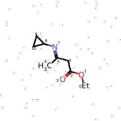 CCOC(=O)C/C(C)=N/C1CC1